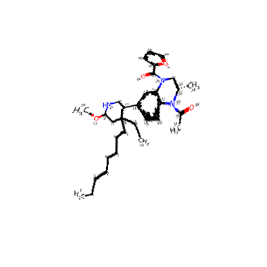 CCCCCCCCC1(CC)CC(OC)NCC1c1ccc2c(c1)N(C(=O)c1ccco1)C[C@H](C)N2C(C)=O